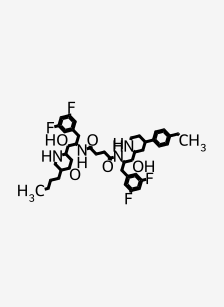 CCCCC1CNC(C(O)C(Cc2cc(F)cc(F)c2)NC(=O)CCC(=O)NC(Cc2cc(F)cc(F)c2)C(O)C2CC(c3ccc(CC)cc3)CCN2)CC1=O